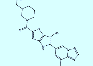 Cc1cc(-c2[nH]c3cc(C(=O)N4CCCC(CN)C4)sc3c2C(C)C)cn2ncnc12